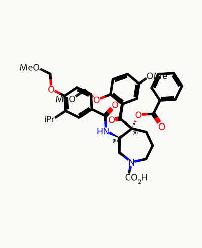 COCOc1ccc(OC)cc1C(=O)[C@@]1(OC(=O)c2ccccc2)CCCN(C(=O)O)C[C@H]1NC(=O)c1ccc(OCOC)c(C(C)C)c1